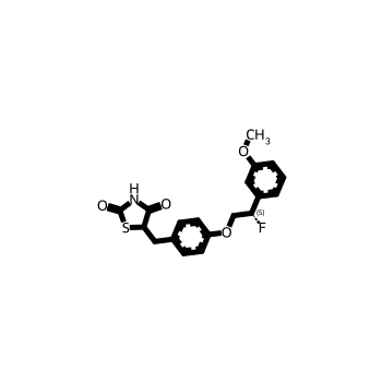 COc1cccc([C@H](F)COc2ccc(CC3SC(=O)NC3=O)cc2)c1